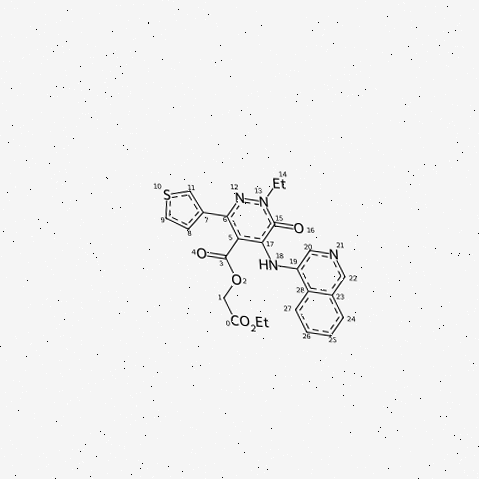 CCOC(=O)COC(=O)c1c(-c2ccsc2)nn(CC)c(=O)c1Nc1cncc2ccccc12